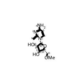 C=C1N=C(N)C=CN1[C@@H]1O[C@H](COC)[C@@H](O)[C@@H]1O